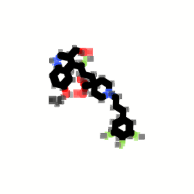 COc1ccc2ncc(CO)c(C(F)CCC3(C(=O)O)CCN(CCCc4cc(F)c(F)c(F)c4)CC3)c2c1